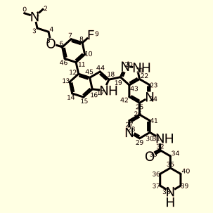 CN(C)CCOc1cc(F)cc(-c2cccc3[nH]c(-c4n[nH]c5cnc(-c6cncc(NC(=O)CC7CCNCC7)c6)cc45)cc23)c1